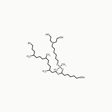 CCCCCCCCCCCCCCCC(OCCC(C)CCCC(C)CCCC(C)CCCC(C)C)O[Si](C)(C)OCCCCCCN(CCO)CCO